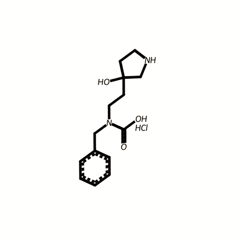 Cl.O=C(O)N(CCC1(O)CCNC1)Cc1ccccc1